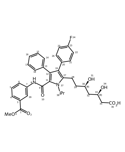 COC(=O)c1cccc(NC(=O)c2c(-c3ccccc3)c(-c3ccc(F)cc3)c(CC[C@@H](O)C[C@@H](O)CC(=O)O)n2C(C)C)c1